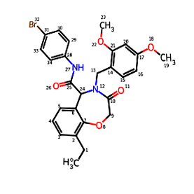 CCc1cccc2c1OCC(=O)N(Cc1ccc(OC)cc1OC)C2C(=O)Nc1ccc(Br)cc1